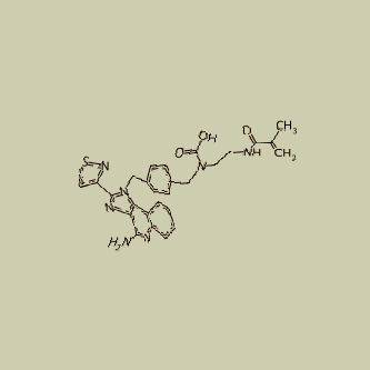 C=C(C)C(=O)NCCN(Cc1ccc(Cn2c(-c3ccsn3)nc3c(N)nc4ccccc4c32)cc1)C(=O)O